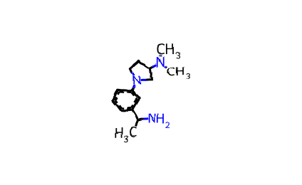 CC(N)c1cccc(N2CCC(N(C)C)C2)c1